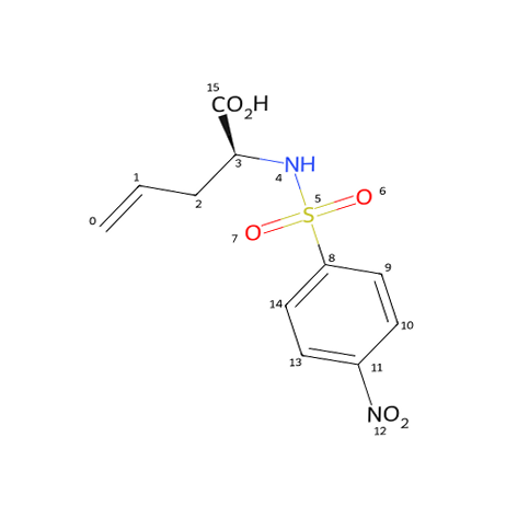 C=CC[C@H](NS(=O)(=O)c1ccc([N+](=O)[O-])cc1)C(=O)O